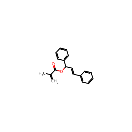 C=C(C)C(=O)OC(/C=C/c1ccccc1)c1ccccc1